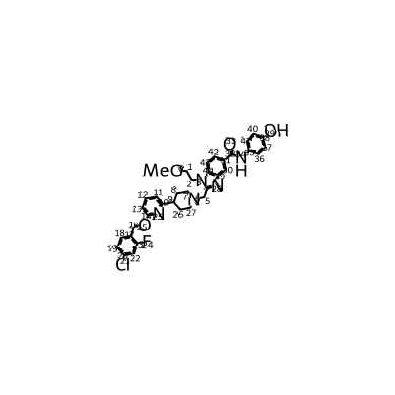 COCCn1c(CN2CCC(c3cccc(OCc4ccc(Cl)cc4F)n3)CC2)nc2cc(C(=O)Nc3ccc(O)cc3)ccc21